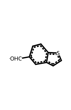 O=[C]c1ccc2sccc2c1